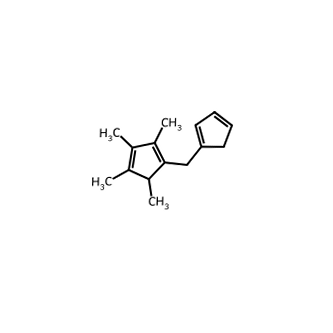 CC1=C(C)C(C)C(CC2=CC=CC2)=C1C